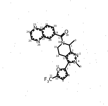 CC1c2nn(C)c(-c3ccc(C(F)(F)F)o3)c2CCN1C(=O)c1ccc2nccnc2c1